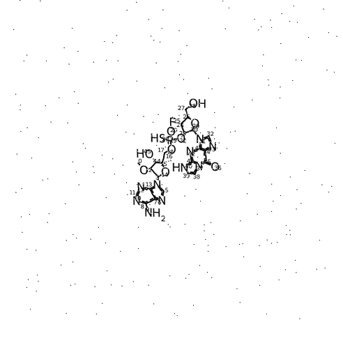 CO[C@H]1[C@H](n2cnc3c(N)ncnc32)O[C@](C)(COP(=O)(S)O[C@@H]2[C@H](F)[C@@H](CO)O[C@H]2n2cnc3c(=O)n4cc[nH]c4nc32)[C@H]1O